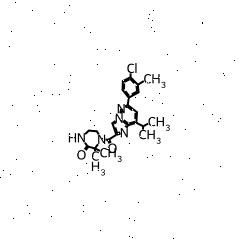 Cc1cc(-c2cc(C(C)C)c3nc(C(=O)N4CCNC(=O)C4(C)C)cn3n2)ccc1Cl